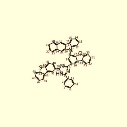 c1ccc(C2=NC(c3cc(-n4c5ccccc5c5cc6ccccc6cc54)c4oc5ccccc5c4c3)=NC(c3ccc4sc5ccccc5c4c3)N2)cc1